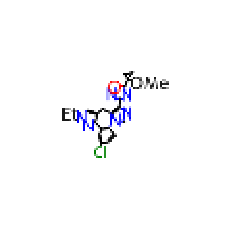 CCn1cc2c(n1)-c1cc(Cl)ccc1-n1cnc(-c3noc(C4(OC)CC4)n3)c1C2